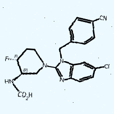 N#Cc1ccc(Cn2c(N3CC[C@@H](F)[C@H](NC(=O)O)C3)nc3ccc(Cl)cc32)cc1